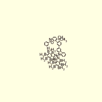 Bc1c(B)c(B)c(-c2nc(-c3c(B)c(B)c(B)c(B)c3B)nc(-n3c4ccccc4c4cc(-c5ccc6c(c5)-c5c(ccc7nc(-c8ccccc8)oc57)C6(C)C)ccc43)n2)c(B)c1B